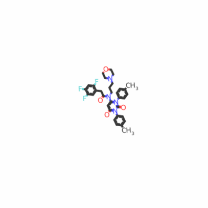 Cc1ccc(-n2c(N(CCCN3CCOCC3)C(=O)Cc3cc(F)c(F)cc3F)cc(=O)n(-c3ccc(C)cc3)c2=O)cc1